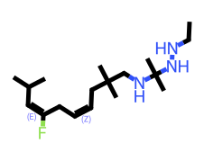 CCNNC(C)(C)NCC(C)(C)C/C=C\C/C(F)=C\C(C)C